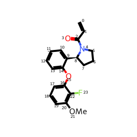 C=CC(=O)N1CCC[C@H]1c1c[c]ccc1Oc1cccc(OC)c1F